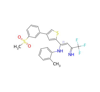 Cc1ccccc1N/C(=C\C(=N)C(F)(F)F)c1cc(-c2cccc(S(C)(=O)=O)c2)cs1